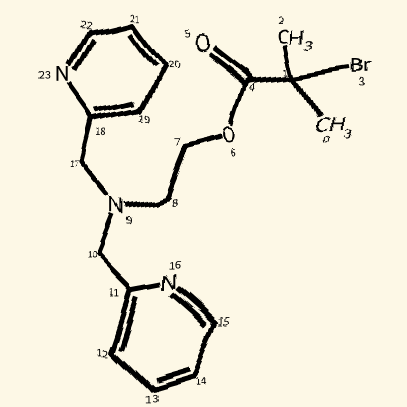 CC(C)(Br)C(=O)OCCN(Cc1ccccn1)Cc1ccccn1